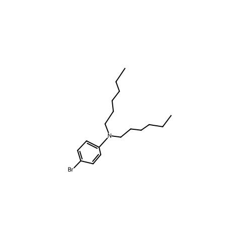 CCCCCCN(CCCCCC)c1ccc(Br)cc1